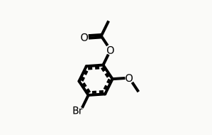 COc1cc(Br)ccc1OC(C)=O